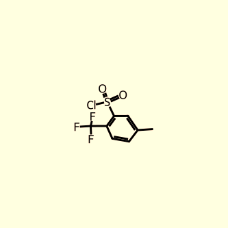 Cc1ccc(C(F)(F)F)c(S(=O)(=O)Cl)c1